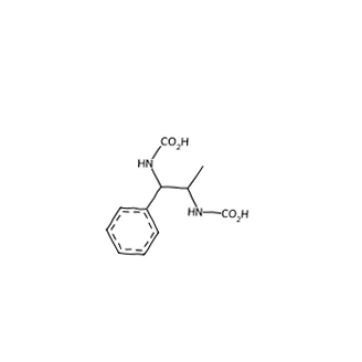 CC(NC(=O)O)C(NC(=O)O)c1ccccc1